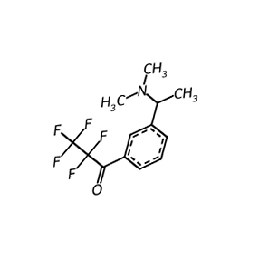 CC(c1cccc(C(=O)C(F)(F)C(F)(F)F)c1)N(C)C